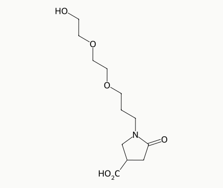 O=C(O)C1CC(=O)N(CCCOCCOCCO)C1